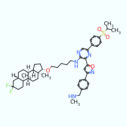 CNCc1ccc(-c2cc(-c3nc(-c4ccc(S(=O)(=O)C(C)C)cc4)cnc3NCCCCCO[C@H]3CC[C@H]4[C@@H]5CC[C@H]6CC(F)(F)CC[C@]6(C)[C@H]5CC[C@]34C)on2)cc1